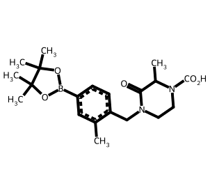 Cc1cc(B2OC(C)(C)C(C)(C)O2)ccc1CN1CCN(C(=O)O)C(C)C1=O